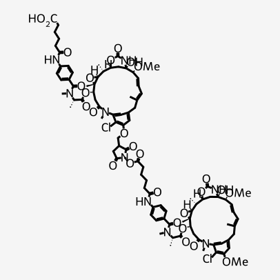 COc1cc2cc(c1Cl)N(C)C(=O)C[C@H](OC(=O)[C@H](C)N(C)C(=O)c1ccc(NC(=O)CCCCC(=O)ON3C(=O)CC(COc4cc5cc(c4Cl)N(C)C(=O)C[C@H](OC(=O)[C@H](C)N(C)C(=O)c4ccc(NC(=O)CCCCC(=O)O)cc4)[C@]4(C)O[C@H]4[C@H](C)[C@@H]4C[C@@](O)(NC(=O)O4)[C@H](OC)/C=C/C=C(\C)C5)C3=O)cc1)[C@]1(C)O[C@H]1[C@H](C)[C@@H]1C[C@@](O)(NC(=O)O1)[C@H](OC)/C=C/C=C(\C)C2